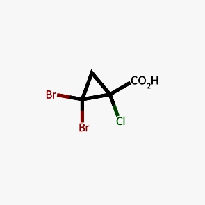 O=C(O)C1(Cl)CC1(Br)Br